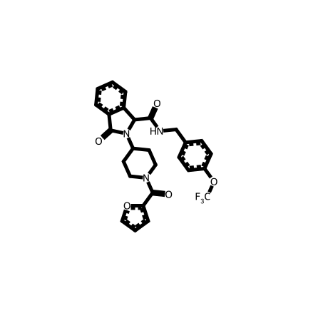 O=C(NCc1ccc(OC(F)(F)F)cc1)C1c2ccccc2C(=O)N1C1CCN(C(=O)c2ccco2)CC1